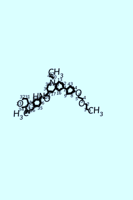 CCCOCCOc1ccc(-c2ccc3c(c2)C=C(C(=O)Nc2ccc(CN(C)C4CCCOC4)cc2)CCN3CCC)cc1